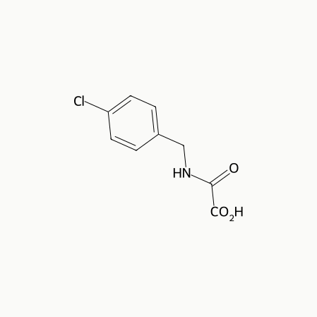 O=C(O)C(=O)NCc1ccc(Cl)cc1